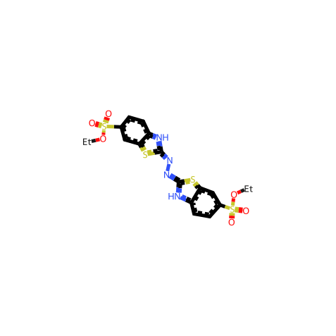 CCOS(=O)(=O)c1ccc2[nH]c(=NN=c3[nH]c4ccc(S(=O)(=O)OCC)cc4s3)sc2c1